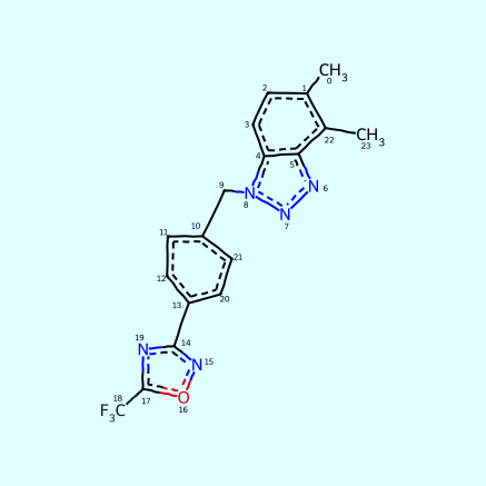 Cc1ccc2c(nnn2Cc2ccc(-c3noc(C(F)(F)F)n3)cc2)c1C